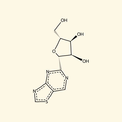 OC[C@H]1O[C@@H](c2ncc3scnc3n2)[C@H](O)[C@@H]1O